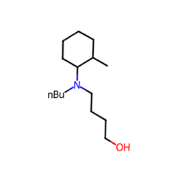 CCCCN(CCCCO)C1CCCCC1C